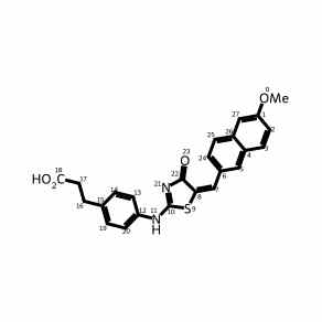 COc1ccc2cc(C=C3SC(Nc4ccc(CCC(=O)O)cc4)=NC3=O)ccc2c1